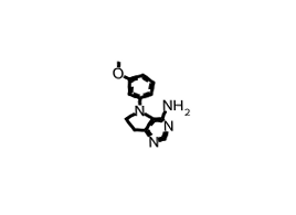 COc1cccc(N2CCc3ncnc(N)c32)c1